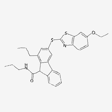 CCCNC(=O)C1c2ccccc2-c2cc(Sc3nc4ccc(OCC)cc4s3)cc(CCC)c21